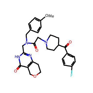 COc1ccc(CN(Cc2nc3c(c(=O)[nH]2)COCC3)C(=O)CN2CCC(C(=O)c3ccc(F)cc3)CC2)cc1